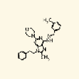 Cc1cccc(C=NNc2nc(N3CCOCC3)nc3c2nc(C)n3CCc2ccccc2)c1